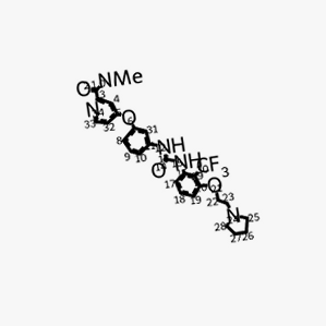 CNC(=O)c1cc(Oc2cccc(NC(=O)Nc3cccc(OCCN4CCCC4)c3C(F)(F)F)c2)ccn1